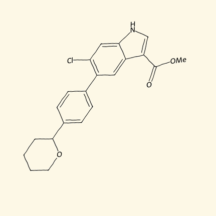 COC(=O)c1c[nH]c2cc(Cl)c(-c3ccc(C4CCCCO4)cc3)cc12